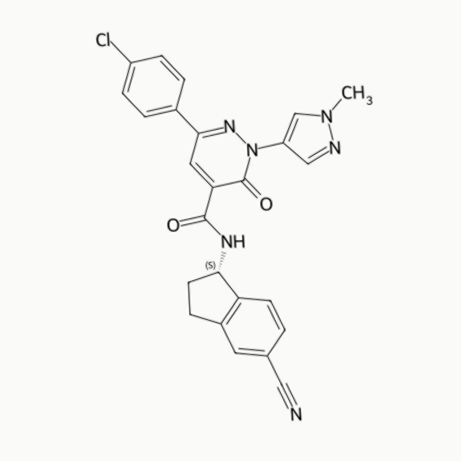 Cn1cc(-n2nc(-c3ccc(Cl)cc3)cc(C(=O)N[C@H]3CCc4cc(C#N)ccc43)c2=O)cn1